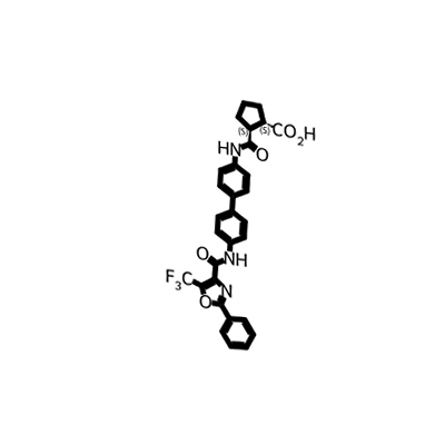 O=C(Nc1ccc(-c2ccc(NC(=O)[C@H]3CCC[C@@H]3C(=O)O)cc2)cc1)c1nc(-c2ccccc2)oc1C(F)(F)F